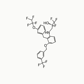 O[C@H](CNc1cccc(OCc2cccc(C(F)(F)F)c2)c1Cc1cccc(OC(F)(F)C(F)F)c1)C(F)(F)F